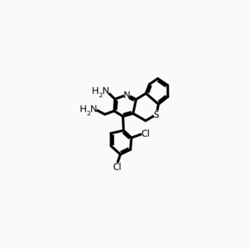 NCc1c(N)nc2c(c1-c1ccc(Cl)cc1Cl)CSc1ccccc1-2